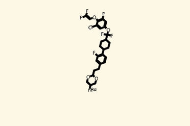 CCCCC1COC(CCc2ccc(C3CCC(C(F)(F)Oc4cc(F)c(OC=C(F)F)c(Cl)c4)CC3)c(F)c2)OC1